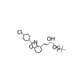 C[C@H](O[Si](C)(C)C(C)(C)C)[C@@H](O)C=Cc1cccc2oc(-c3ccc(Cl)cc3)nc12